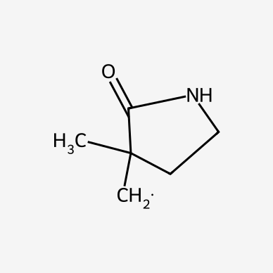 [CH2]C1(C)CCNC1=O